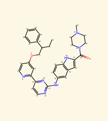 CCC(COc1ccnc(-c2ccnc(Nc3ccc4[nH]c(C(=O)N5CCN(C)CC5)cc4c3)n2)c1)c1ccccc1